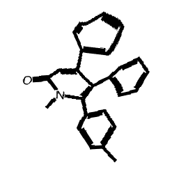 Cc1ccc(-c2c(-c3ccccc3)c(-c3ccccc3)cc(=O)n2C)cc1